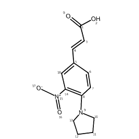 O=C(O)/C=C/c1ccc(N2CCCC2)c([N+](=O)[O-])c1